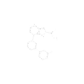 O=C(O)c1cc2nccc(-c3cccc(-c4cccc(Cl)c4)c3)n2n1